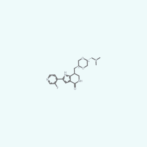 CN(C)C[C@@H]1CO[C@@H](CC2CNC(=O)c3cc(-c4ccncc4F)[nH]c32)CO1